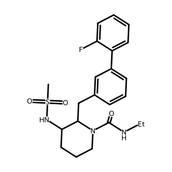 CCNC(=O)N1CCCC(NS(C)(=O)=O)C1Cc1cccc(-c2ccccc2F)c1